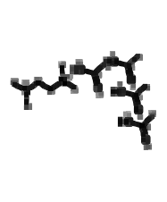 CC(=O)O.CC(=O)O.CC(=O)O.CC(=O)O.CN(C)CCN(C)C